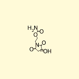 NC(=O)OCCN1C(=O)C[C@H](O)C1=O